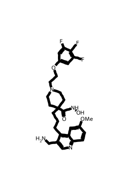 COc1ccc2ncc(CN)c(CCCC3(C(=O)NO)CCN(CCOc4cc(F)c(F)c(F)c4)CC3)c2c1